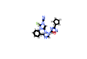 N#CN1C=C2N(c3ccccc3C3N=CN(c4nc(C5CCCC5)no4)N23)C1F